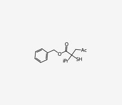 CC(=O)CC(S)(C(=O)OCc1ccccc1)C(C)C